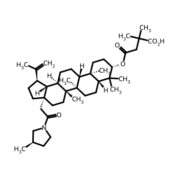 C=C(C)[C@@H]1CC[C@]2(CC(=O)N3CC[C@@H](C)C3)CC[C@]3(C)[C@H](CC[C@@H]4[C@@]5(C)CC[C@H](OC(=O)CC(C)(C)C(=O)O)C(C)(C)[C@@H]5CC[C@]43C)[C@@H]12